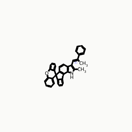 C/C(=C\c1c(C)[nH]c2c3c(ccc12)C1(c2ccccc2Oc2ccccc21)c1ccccc1-3)c1ccccc1